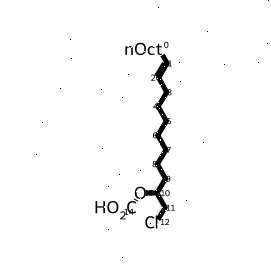 CCCCCCCCC=CCCCCCCCC(CCl)OC(=O)O